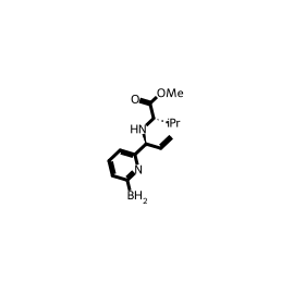 Bc1cccc([C@H](C=C)N[C@H](C(=O)OC)C(C)C)n1